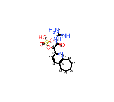 N=C(N)NC(=O)C(OS(=O)(=O)O)c1ccc2c(n1)CCCCC2